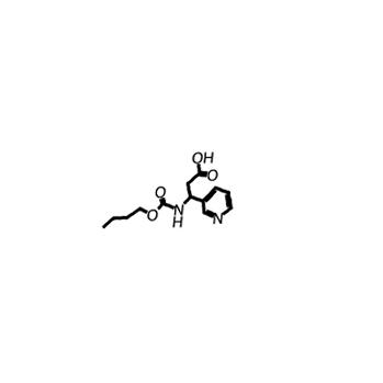 CCCCOC(=O)NC(CC(=O)O)c1cccnc1